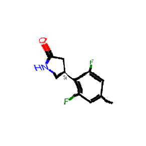 Cc1cc(F)c([C@H]2CNC(=O)C2)c(F)c1